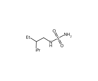 CCC(CNS(N)(=O)=O)C(C)C